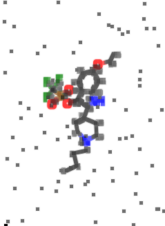 CCCCN1CC=C(c2[nH]c3cc(OCC)ccc3c2OS(=O)(=O)C(F)(F)F)CC1